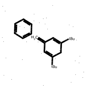 C=C1C=C(C(C)(C)C)CC(C(C)(C)C)=C1.c1ccccc1